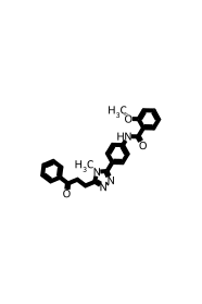 COc1ccccc1C(=O)Nc1ccc(-c2nnc(CCC(=O)c3ccccc3)n2C)cc1